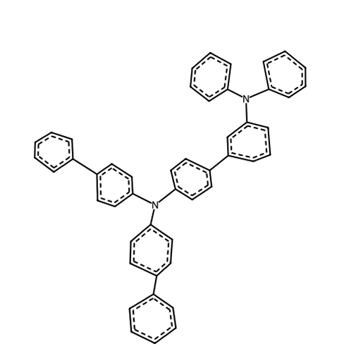 c1ccc(-c2ccc(N(c3ccc(-c4ccccc4)cc3)c3ccc(-c4cccc(N(c5ccccc5)c5ccccc5)c4)cc3)cc2)cc1